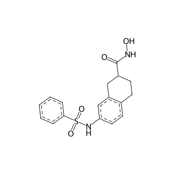 O=C(NO)C1CCc2ccc(NS(=O)(=O)c3ccccc3)cc2C1